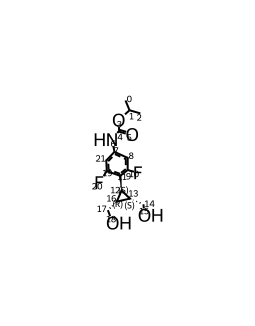 CC(C)OC(=O)Nc1cc(F)c([C@H]2[C@H](CO)[C@@H]2CO)c(F)c1